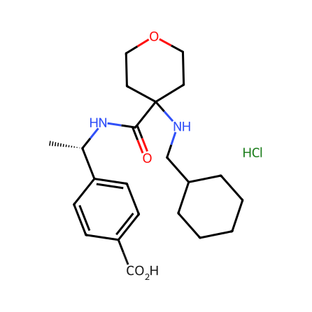 C[C@H](NC(=O)C1(NCC2CCCCC2)CCOCC1)c1ccc(C(=O)O)cc1.Cl